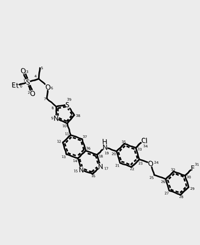 CCS(=O)(=O)C(C)OCc1nc(-c2ccc3ncnc(Nc4ccc(OCc5cccc(F)c5)c(Cl)c4)c3c2)cs1